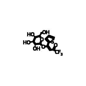 O=C(/C=C(/OC1O[C@H](CO)[C@H](O)[C@H](O)[C@H]1O)c1cccs1)C(F)(F)F